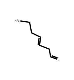 CCCCCCC=CCC=S